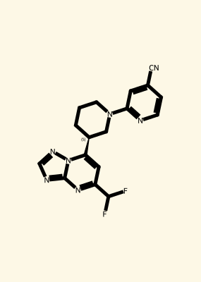 N#Cc1ccnc(N2CCC[C@H](c3cc(C(F)F)nc4ncnn34)C2)c1